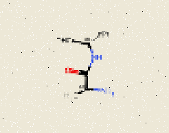 CCC[C@@H]([C]=O)NC(=O)[C@H](C)N